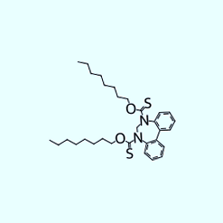 CCCCCCCCOC(=S)N1CN(C(=S)OCCCCCCCC)c2ccccc2-c2ccccc21